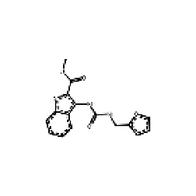 COC(=O)c1sc2ccccc2c1NC(=O)NCc1ccco1